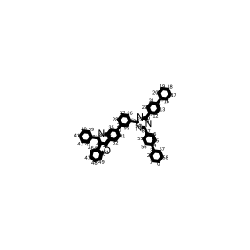 c1ccc(-c2ccc(-c3nc(-c4ccc(-c5ccccc5)cc4)nc(-c4cccc(-c5ccc6c(c5)nc(-c5ccccc5)c5c7ccccc7oc65)c4)n3)cc2)cc1